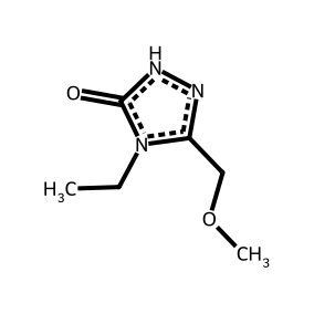 CCn1c(COC)n[nH]c1=O